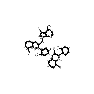 Nc1ncnc2c1c(I)nn2Cc1cc2cccc(Cl)c2nc1-c1ccccc1C(F)(F)F.O=Cc1cc2cccc(Cl)c2nc1-c1ccccc1C(F)(F)F